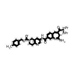 CCCN(CCC)C(=O)C1=Cc2ccc(C(=O)Nc3cnc4c(c3)CN(C(=O)OCc3ccc(C)cc3)CC4)cc2N=C(N)C1